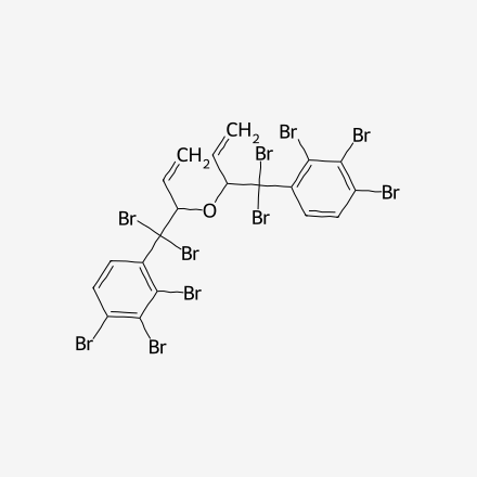 C=CC(OC(C=C)C(Br)(Br)c1ccc(Br)c(Br)c1Br)C(Br)(Br)c1ccc(Br)c(Br)c1Br